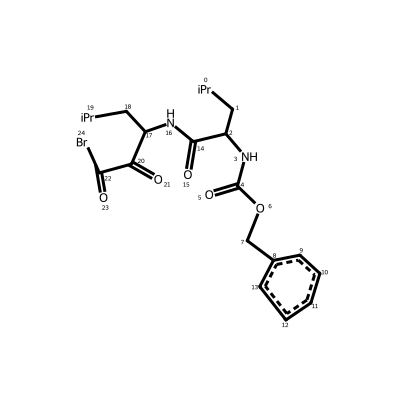 CC(C)CC(NC(=O)OCc1ccccc1)C(=O)NC(CC(C)C)C(=O)C(=O)Br